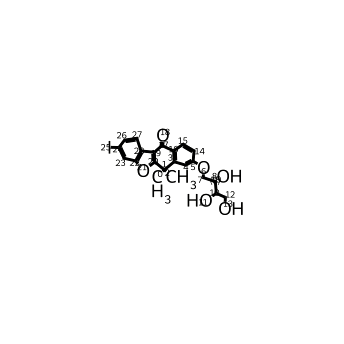 CC1(C)c2cc(OC[C@@H](O)C(O)CO)ccc2C(=O)c2c1oc1cc(I)ccc21